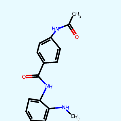 CNc1ccccc1NC(=O)c1ccc(NC(C)=O)cc1